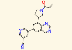 C=CC(=O)N1CCC(c2cc(-c3cncc(C#N)c3)cc3cncnc23)C1